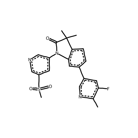 Cc1ncc(-c2ccc3c(c2)N(c2cncc(S(C)(=O)=O)c2)C(=O)C3(C)C)cc1F